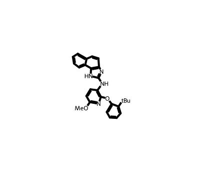 COc1ccc(Nc2nc3ccc4ccccc4c3[nH]2)c(Oc2ccccc2C(C)(C)C)n1